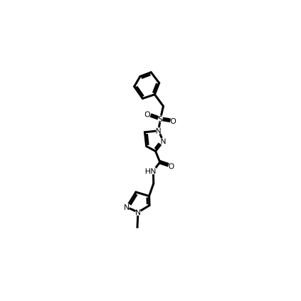 Cn1cc(CNC(=O)c2ccn(S(=O)(=O)Cc3ccccc3)n2)cn1